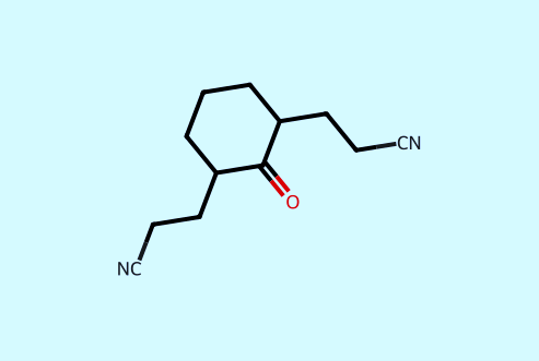 N#CCCC1CCCC(CCC#N)C1=O